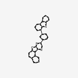 c1cc(-c2cnc3c(n2)oc2ccc4ccccc4c23)cc(-c2cccc3c2sc2ccccc23)c1